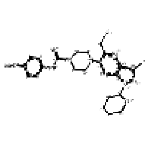 COc1ccc(NC(=N)N2CCN(c3nc4c(nc3CO)c(I)nn4C3CCCCO3)CC2)cc1